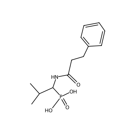 CC(C)C(NC(=O)CCc1ccccc1)P(=O)(O)O